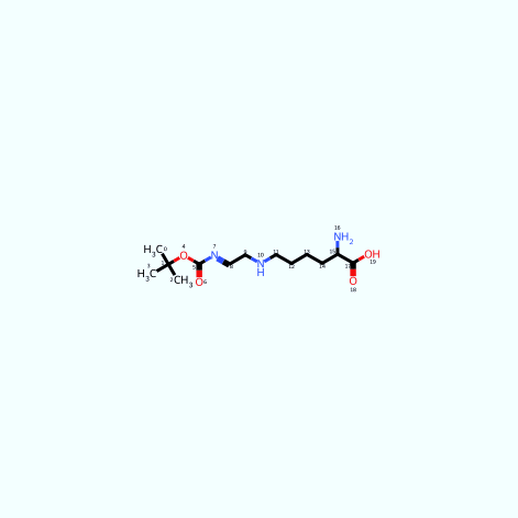 CC(C)(C)OC(=O)N=CCNCCCCC(N)C(=O)O